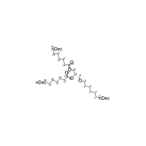 CCCCCCCCCCCCCCCCOC[C@@H](COC(=O)CCCCCCCCCCCCCCC)OC(=O)CCCCCCCCCCCCCCC